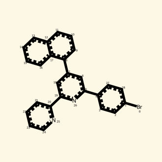 Brc1ccc(-c2cc(-c3cccc4ccccc34)cc(-c3ccccn3)n2)cc1